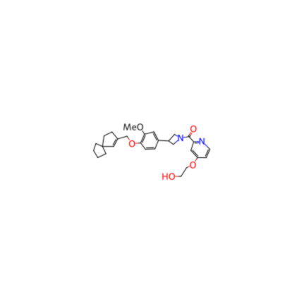 COc1cc(C2CN(C(=O)c3cc(OCCO)ccn3)C2)ccc1OCC1=CC2(CCCC2)CC1